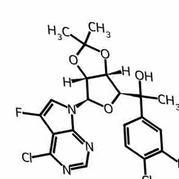 CC1(C)O[C@@H]2[C@H](O1)[C@@H](C(C)(O)c1ccc(Cl)c(F)c1)O[C@H]2n1cc(F)c2c(Cl)ncnc21